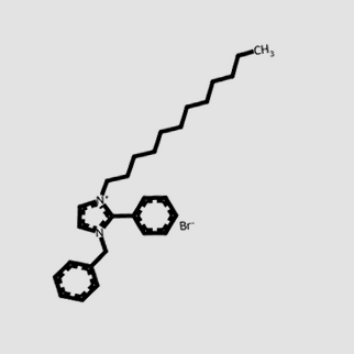 CCCCCCCCCCCC[n+]1ccn(Cc2ccccc2)c1-c1ccccc1.[Br-]